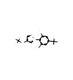 Fc1cc(C(F)(F)F)cc(Cl)c1-n1cc(SC(F)(F)F)cn1